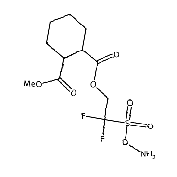 COC(=O)C1CCCCC1C(=O)OCC(F)(F)S(=O)(=O)ON